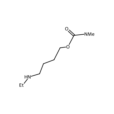 CCNCCCCOC(=O)NC